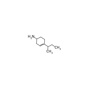 CCC(C)C1=CCC(N)CC1